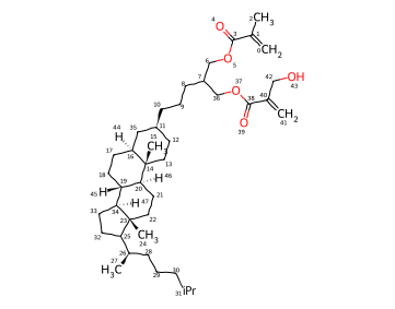 C=C(C)C(=O)OCC(CCC[C@H]1CC[C@@]2(C)[C@@H](CC[C@@H]3[C@@H]2CC[C@]2(C)C([C@H](C)CCCC(C)C)CC[C@@H]32)C1)COC(=O)C(=C)CO